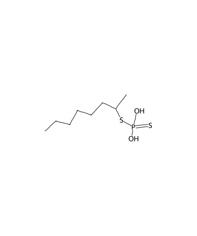 CCCCCCC(C)SP(O)(O)=S